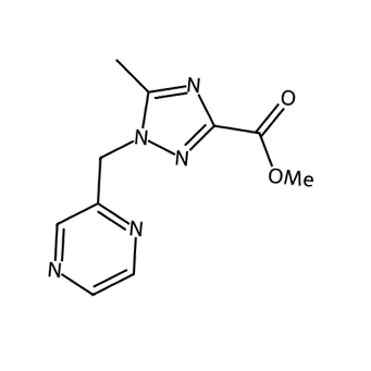 COC(=O)c1nc(C)n(Cc2cnccn2)n1